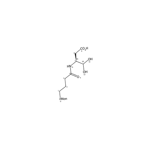 CCCCCCCCCCCCC(=O)N[C@@H](CC(=O)O)C(O)O